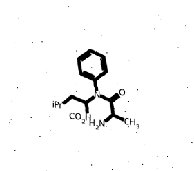 CC(C)CC(C(=O)O)N(C(=O)C(C)N)c1ccccc1